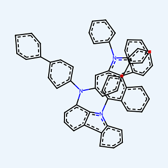 c1ccc(-c2ccc(N(c3ccc4c5ccccc5n(-c5ccccc5)c4c3)c3cccc4c5ccccc5n(-c5ccc(-c6ccccc6)c6ccccc56)c34)cc2)cc1